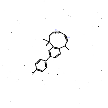 CC1/C=C\C=C/CC(C)(C)c2cc(-c3ccc(I)cc3)ccc21